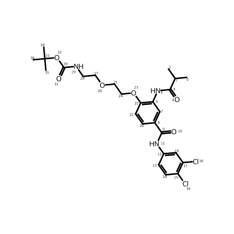 CC(C)C(=O)Nc1cc(C(=O)Nc2ccc(Cl)c(Cl)c2)ccc1OCCOCCNC(=O)OC(C)(C)C